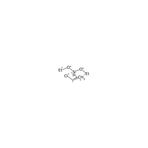 C=CCl.CCO[SiH2]OCC